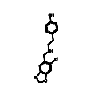 Oc1ccc(CCNCc2cc3c(cc2Cl)OCO3)cc1